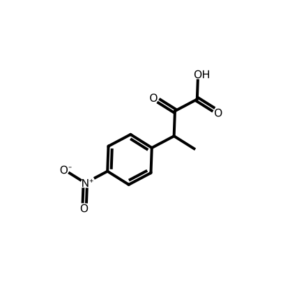 CC(C(=O)C(=O)O)c1ccc([N+](=O)[O-])cc1